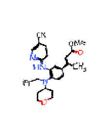 COC(=O)CC(C)c1ccc(N(CC(C)C)C2CCOCC2)c(Nc2ccc(C#N)cn2)c1